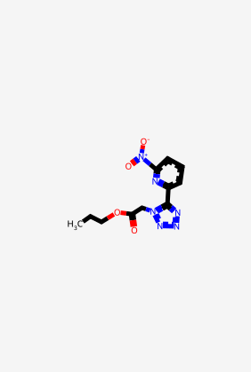 CCCOC(=O)Cn1nnnc1-c1cccc([N+](=O)[O-])n1